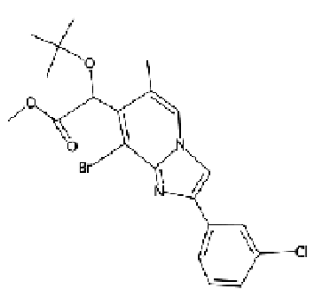 COC(=O)C(OC(C)(C)C)c1c(C)cn2cc(-c3cccc(Cl)c3)nc2c1Br